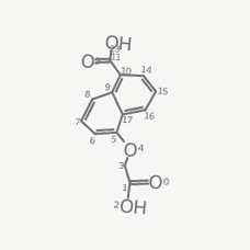 O=C(O)COc1cccc2c(C(=O)O)cccc12